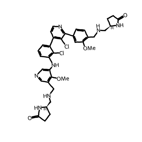 COc1cc(-c2nccc(-c3cccc(Nc4cncc(CNC[C@H]5CCC(=O)N5)c4OC)c3Cl)c2Cl)ccc1CNC[C@H]1CCC(=O)N1